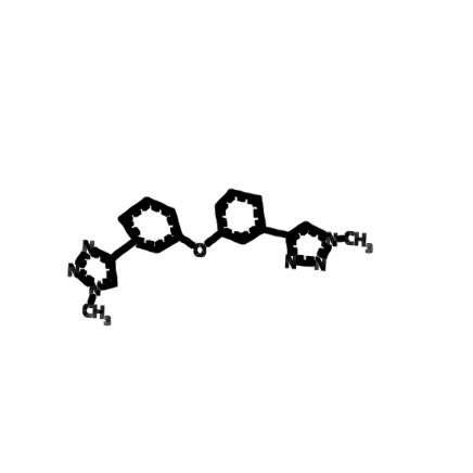 Cn1cc(-c2cccc(Oc3cccc(-c4cn(C)nn4)c3)c2)nn1